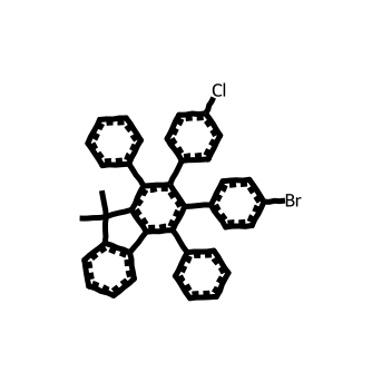 CC1(C)c2ccccc2-c2c(-c3ccccc3)c(-c3ccc(Br)cc3)c(-c3ccc(Cl)cc3)c(-c3ccccc3)c21